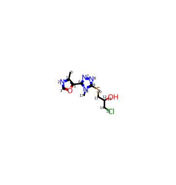 Cc1ncoc1-c1nnc(SCC(O)CCl)n1C